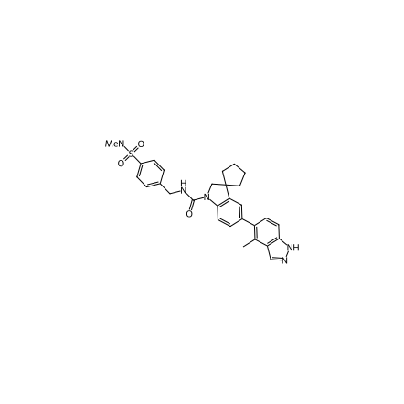 CNS(=O)(=O)c1ccc(CNC(=O)N2CC3(CCCC3)c3cc(-c4ccc5[nH]ncc5c4C)ccc32)cc1